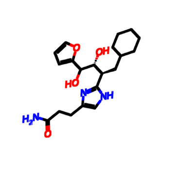 NC(=O)CCc1c[nH]c([C@H](CC2CCCCC2)[C@@H](O)C(O)c2ccco2)n1